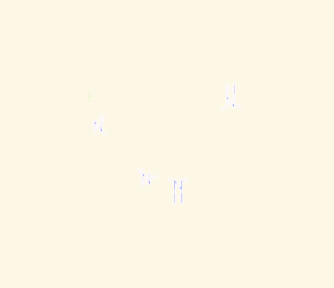 Fc1ccc(-c2cnc3[nH]cc(-c4ccc5[nH]ccc5c4)c3c2)cn1